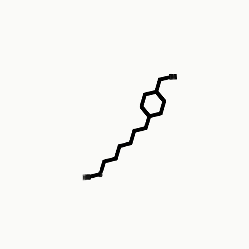 OCC1CCC(CCCCCCSO)CC1